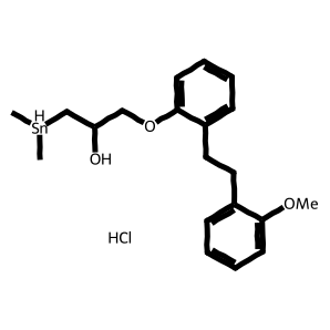 COc1ccccc1CCc1ccccc1OCC(O)[CH2][SnH]([CH3])[CH3].Cl